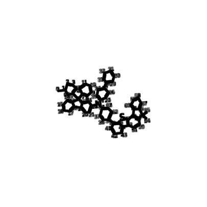 CC1C=CC=C(C2(c3ccccc3)c3ccccc3-c3ccc(N(c4ccc(-c5ccccc5)cc4)c4ccc(-c5cccc6c5sc5c7c(ccc56)C(C)(C)c5ccccc5-7)cc4)cc32)C1